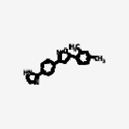 Cc1ccc(C2CC(c3ccc(C4=NCCN4)cc3)=NO2)c(C)c1